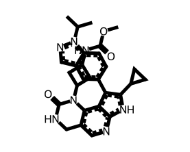 COC(=O)NC1CC(N2C(=O)NCc3cnc4[nH]c(C5CC5)c(-c5ccc6c(cnn6C(C)C)c5)c4c32)C1